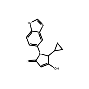 O=C1[C]=C(O)C(C2CC2)N1c1ccc2[nH]cnc2c1